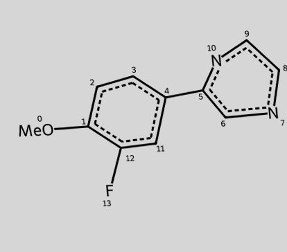 COc1ccc(-c2cnccn2)cc1F